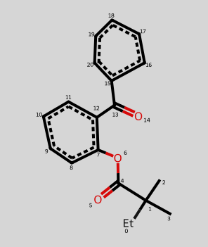 CCC(C)(C)C(=O)Oc1ccccc1C(=O)c1ccccc1